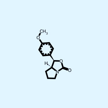 COc1ccc([C@H]2OC(=O)N3CCC[C@@H]23)cc1